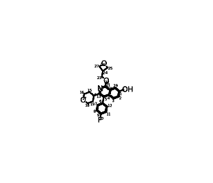 Oc1ccc2c(-c3ccc(F)cc3)c(C3CCOCC3)nc(OCC3COC3)c2c1